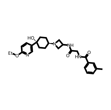 CCOc1ccc([C@]2(O)CC[C@H](N3CC(NC(=O)CNC(=O)c4cccc(C)c4)C3)CC2)cn1